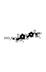 CCOC(=O)COC(=O)C(C)(C)c1ccc(OC(=O)c2ccc(NC(=N)N)cc2)cc1